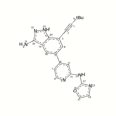 CC(C)(C)C#Cc1cc(-c2ccnc(Nc3ncco3)c2)cc2c(N)n[nH]c12